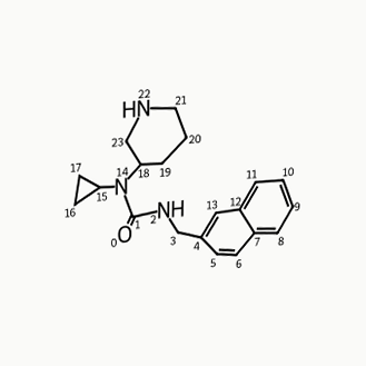 O=C(NCc1ccc2ccccc2c1)N(C1CC1)C1CCCNC1